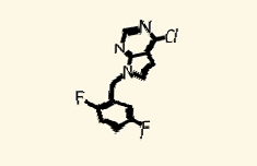 Fc1ccc(F)c(Cn2ccc3c(Cl)ncnc32)c1